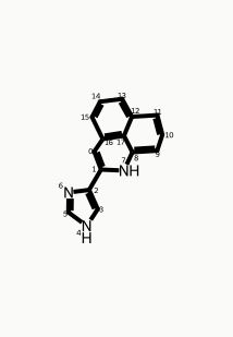 C1=C(c2c[nH]cn2)Nc2cccc3cccc1c23